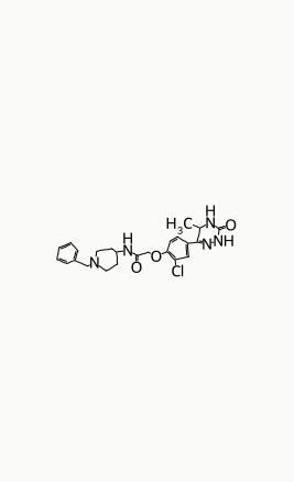 CC1NC(=O)NN=C1c1ccc(OCC(=O)NC2CCN(Cc3ccccc3)CC2)c(Cl)c1